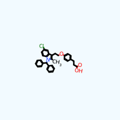 Cc1c(CCOc2ccc(CCC(=O)O)cc2)c2cc(Cl)ccc2n1C(c1ccccc1)c1ccccc1